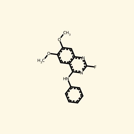 COc1cc2nc(F)nc(Nc3ccccc3)c2cc1OC